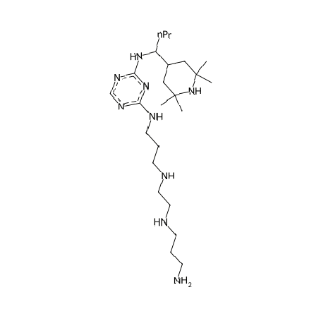 CCCC(Nc1ncnc(NCCCNCCNCCCN)n1)C1CC(C)(C)NC(C)(C)C1